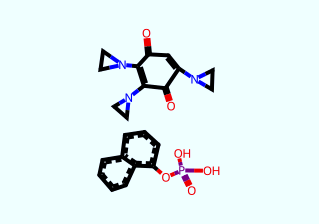 O=C1C=C(N2CC2)C(=O)C(N2CC2)=C1N1CC1.O=P(O)(O)Oc1cccc2ccccc12